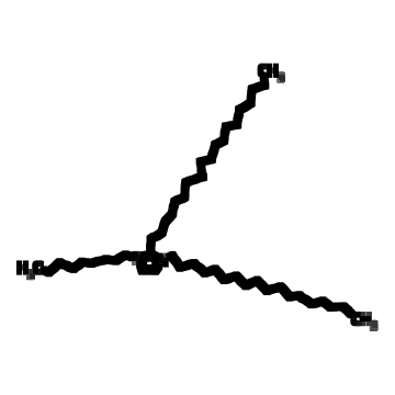 CCCCCCCCCCCCCCCCCCCc1n(CCCCCCCCC)cc[n+]1CCCCCCCCCCCCCCCCCC